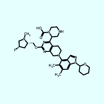 Cc1cc2c(cnn2C2CCCCO2)c(N2CCc3c(nc(OC[C@@H]4C[C@@H](F)CN4C)nc3C3CNCCN3C(=O)O)C2)c1C